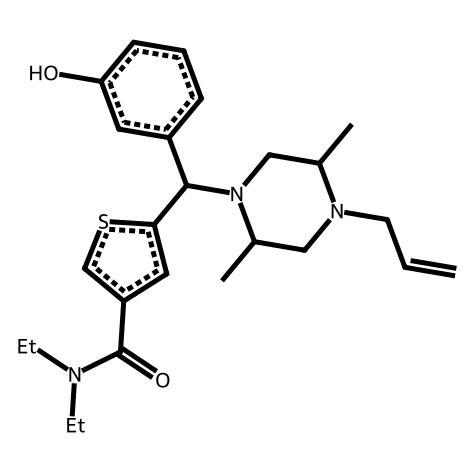 C=CCN1CC(C)N(C(c2cccc(O)c2)c2cc(C(=O)N(CC)CC)cs2)CC1C